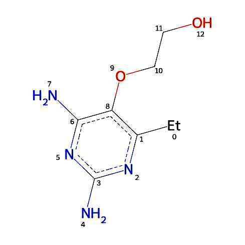 CCc1nc(N)nc(N)c1OCCO